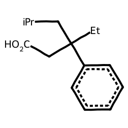 CCC(CC(=O)O)(CC(C)C)c1ccccc1